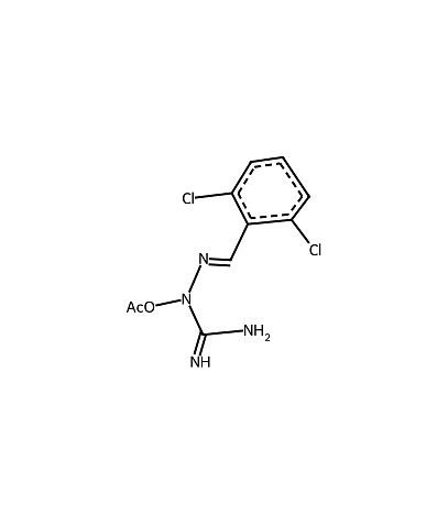 CC(=O)ON(N=Cc1c(Cl)cccc1Cl)C(=N)N